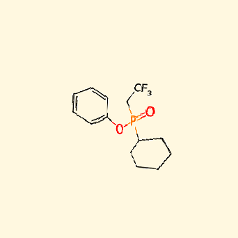 O=P(CC(F)(F)F)(Oc1ccccc1)C1CCCCC1